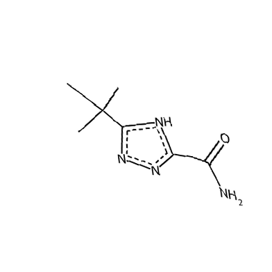 CC(C)(C)c1nnc(C(N)=O)[nH]1